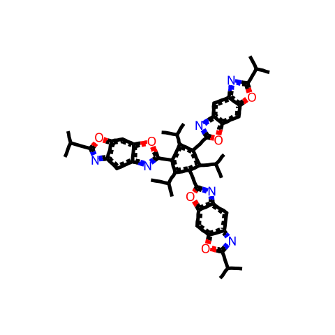 CC(C)c1nc2cc3nc(-c4c(C(C)C)c(-c5nc6cc7nc(C(C)C)oc7cc6o5)c(C(C)C)c(-c5nc6cc7nc(C(C)C)oc7cc6o5)c4C(C)C)oc3cc2o1